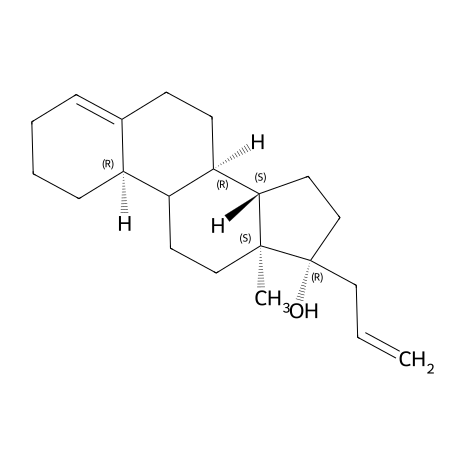 C=CC[C@]1(O)CC[C@H]2[C@@H]3CCC4=CCCC[C@@H]4C3CC[C@@]21C